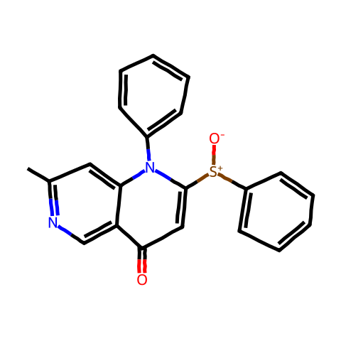 Cc1cc2c(cn1)c(=O)cc([S+]([O-])c1ccccc1)n2-c1ccccc1